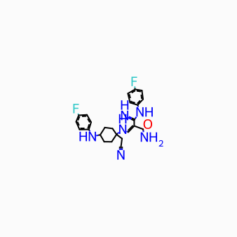 N#CCC1(N/C=C(\C(=N)Nc2ccc(F)cc2)C(N)=O)CCC(Nc2ccc(F)cc2)CC1